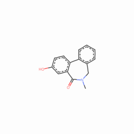 CN1Cc2ccccc2-c2ccc(O)cc2C1=O